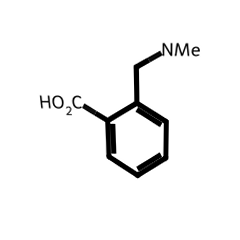 CNCc1ccccc1C(=O)O